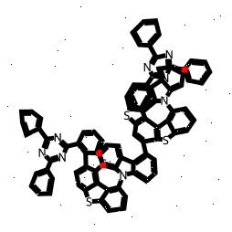 c1ccc(-c2nc(-c3ccccc3)nc(-c3ccc4sc5cc(-c6cccc7c6c6ccccc6n7-c6cccc7sc8ccc9c(sc%10cccc(-c%11nc(-c%12ccccc%12)nc(-c%12ccccc%12)n%11)c%109)c8c67)c6sc7cccc(-n8c9ccccc9c9ccccc98)c7c6c5c4c3)n2)cc1